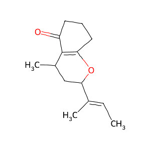 CC=C(C)C1CC(C)C2=C(CCCC2=O)O1